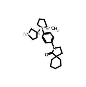 C[C@H]1CCC[N+]1(c1ccc(N2CCC3(CCCCC3)C2=O)cc1)[C@H]1CCNC1